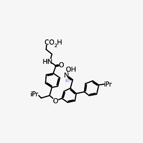 CC(C)CC(Oc1ccc(-c2ccc(C(C)C)cc2)c(/C=N/O)c1)c1ccc(C(=O)NCCC(=O)O)cc1